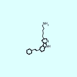 NCCCCCc1cnc2[nH]c3ccc(C=Cc4ccccc4)cc3c2c1